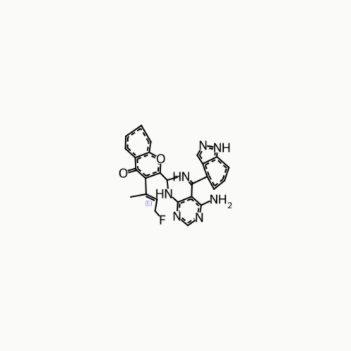 C/C(=C\CF)c1c(C(C)Nc2ncnc(N)c2C(=N)c2cccc3[nH]ncc23)oc2ccccc2c1=O